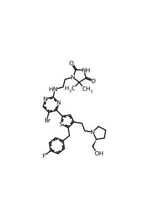 CC1(C)C(=O)NC(=O)N1CCNc1ncc(Br)c(-c2cc(CCN3CCC[C@H]3CO)c(Cc3ccc(F)cc3)s2)n1